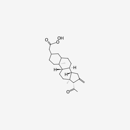 C=C1C[C@H]2[C@@H]3CCC4CC(CC(=O)OO)CC[C@]4(C)[C@H]3CC[C@]2(C)[C@H]1C(C)=O